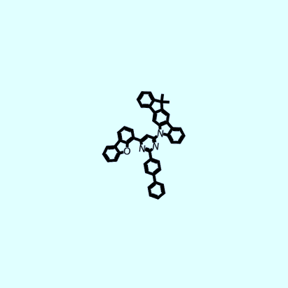 CC1(C)c2ccccc2-c2cc3c(cc21)c1ccccc1n3-c1cc(-c2cccc3c2oc2ccccc23)nc(-c2ccc(-c3ccccc3)cc2)n1